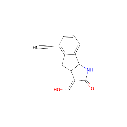 C#Cc1cccc2c1CC1C(=CO)C(=O)NC21